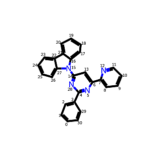 c1ccc(-c2nc(-c3ccccn3)cc(-n3c4ccccc4c4ccccc43)n2)cc1